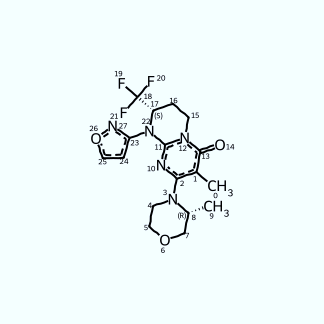 Cc1c(N2CCOC[C@H]2C)nc2n(c1=O)CC[C@@H](C(F)(F)F)N2c1ccon1